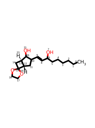 CCCCCCC(O)C=CC1C[C@H]2[C@@H](CC23OCCO3)C1O